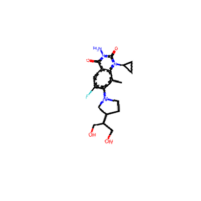 Cc1c(N2CCC(C(CO)CO)C2)c(F)cc2c(=O)n(N)c(=O)n(C3CC3)c12